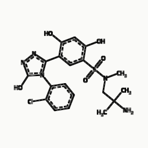 CN(CC(C)(C)N)S(=O)(=O)c1cc(-c2nnc(O)n2-c2ccccc2Cl)c(O)cc1O